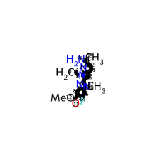 C=CCn1c(-c2nc3cc(C(=O)OC)c(F)cc3n2C)cc2ccc([C@@H](C)N)nc21